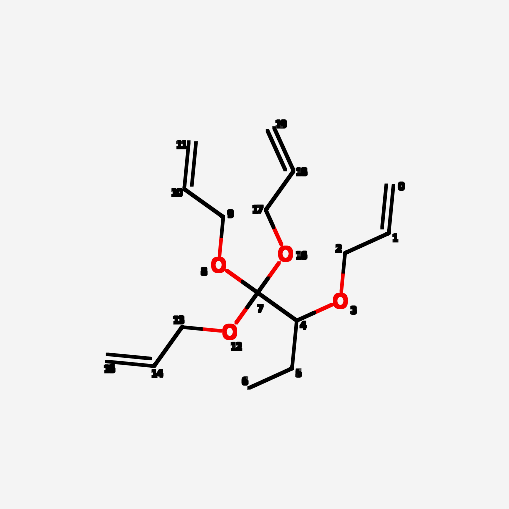 C=CCOC(CC)C(OCC=C)(OCC=C)OCC=C